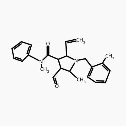 C=CC1C(C(=O)N(C)c2ccccc2)C(C=O)C(C)N1Cc1ccccc1C